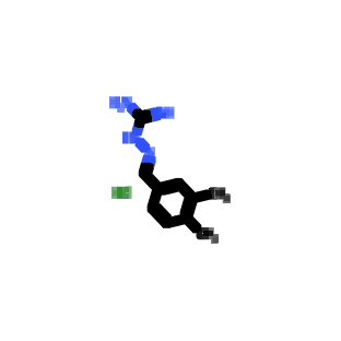 Cc1ccc(C=NNC(=N)N)cc1C.Cl